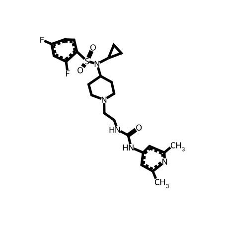 Cc1cc(NC(=O)NCCN2CCC(N(C3CC3)S(=O)(=O)c3ccc(F)cc3F)CC2)cc(C)n1